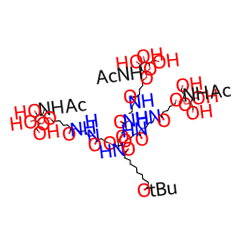 CC(=O)NC1C(OCCCCC(=O)NCCCNC(=O)CCOCC(COCCC(=O)NCCCNC(=O)CCCCOC2OC(CO)C(O)C(O)C2NC(C)=O)(COCCC(=O)NCCCNC(=O)CCCCOC(OC(CO)[C@H](C)O)[C@H](CO)NC(C)=O)NC(=O)CCCCCCCCC(=O)C(C)(C)C)OC(CO)C(O)C1O